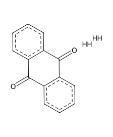 O=C1c2ccccc2C(=O)c2ccccc21.[HH].[HH]